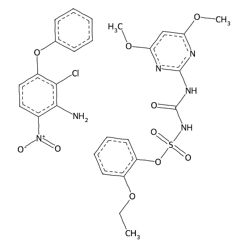 CCOc1ccccc1OS(=O)(=O)NC(=O)Nc1nc(OC)cc(OC)n1.Nc1c([N+](=O)[O-])ccc(Oc2ccccc2)c1Cl